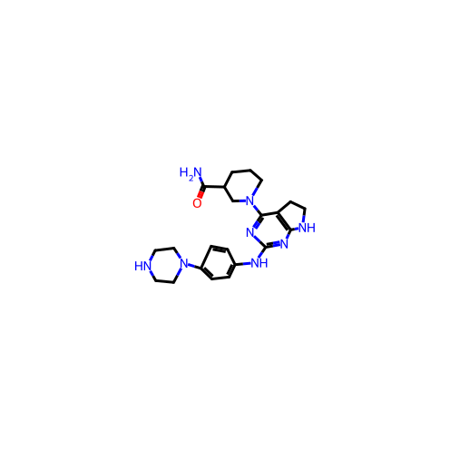 NC(=O)C1CCCN(c2nc(Nc3ccc(N4CCNCC4)cc3)nc3c2CCN3)C1